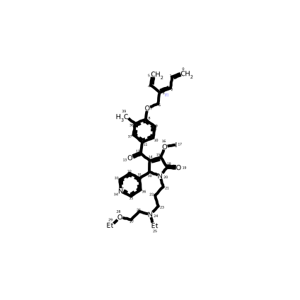 C=C/C=C(\C=C)COc1ccc(C(=O)C2=C(OI)C(=O)N(CCCN(CC)CCOCC)C2c2ccncc2)cc1C